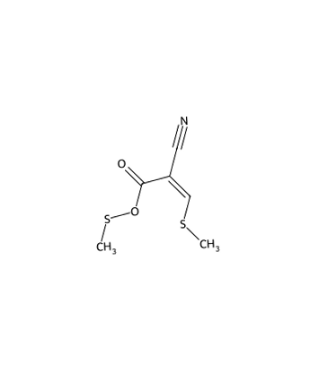 CSC=C(C#N)C(=O)OSC